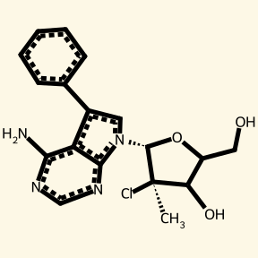 C[C@@]1(Cl)C(O)C(CO)O[C@H]1n1cc(-c2ccccc2)c2c(N)ncnc21